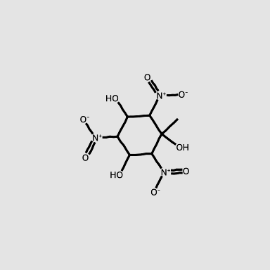 CC1(O)C([N+](=O)[O-])C(O)C([N+](=O)[O-])C(O)C1[N+](=O)[O-]